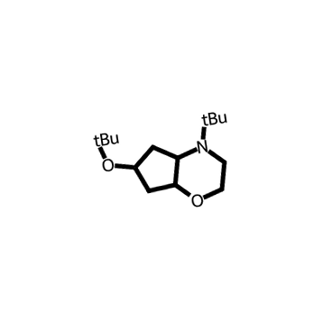 CC(C)(C)OC1CC2OCCN(C(C)(C)C)C2C1